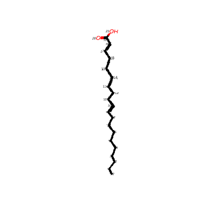 CCCCCCCCCC=CCCCCCCC=CC(=O)O